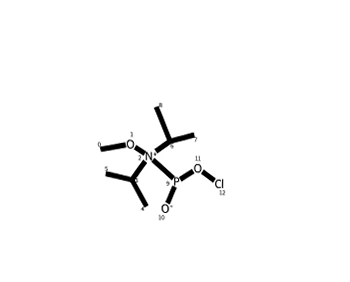 CO[N+](C(C)C)(C(C)C)P([O-])OCl